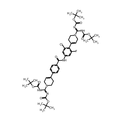 CC(C)(C)OC(=O)N=C(NC(=O)OC(C)(C)C)N1CC=C(c2ccc(C(=O)Nc3cc(F)c(C4=CCN(C(=NC(=O)OC(C)(C)C)NC(=O)OC(C)(C)C)CC4)c(Cl)c3)cc2)CC1